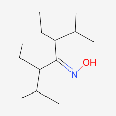 CCC(C(=NO)C(CC)C(C)C)C(C)C